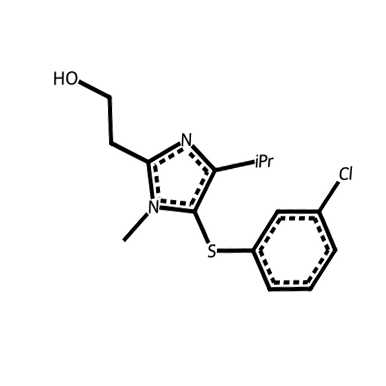 CC(C)c1nc(CCO)n(C)c1Sc1cccc(Cl)c1